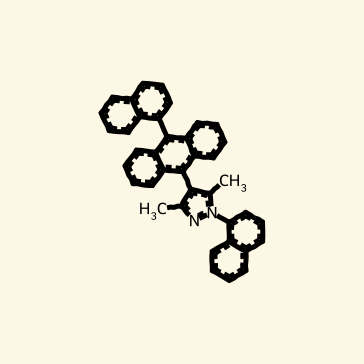 Cc1nn(-c2cccc3ccccc23)c(C)c1-c1c2ccccc2c(-c2cccc3ccccc23)c2ccccc12